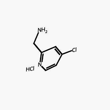 Cl.NCc1cc(Cl)ccn1